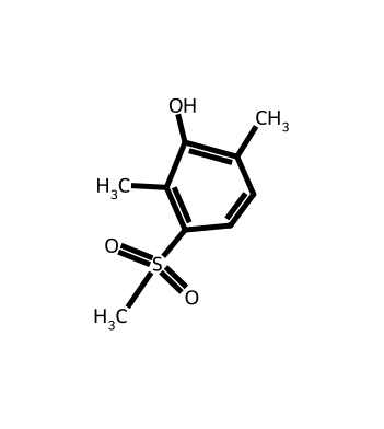 Cc1ccc(S(C)(=O)=O)c(C)c1O